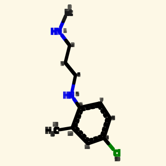 CCNCCCNc1ccc(Cl)cc1C